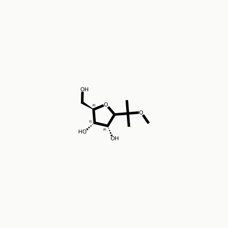 [CH2]C(C)(OC)C1O[C@H](CO)[C@@H](O)[C@H]1O